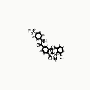 Cn1c(Nc2c(Cl)cccc2Cl)nc2cc(C(=O)NC3CCC(C(F)(F)F)CC3)ccc21